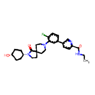 CCNC(=O)c1ccc(-c2ccc(F)c(N3CCC4(CC3)CCN([C@H]3CC[C@@H](O)CC3)C4=O)c2)cn1